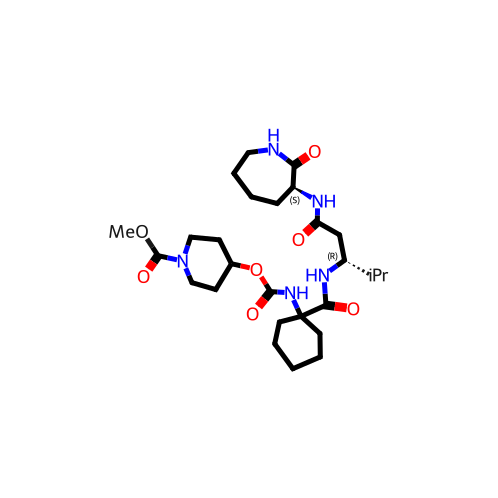 COC(=O)N1CCC(OC(=O)NC2(C(=O)N[C@H](CC(=O)N[C@H]3CCCCNC3=O)C(C)C)CCCCC2)CC1